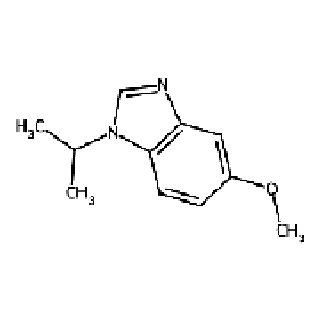 COc1ccc2c(c1)ncn2C(C)C